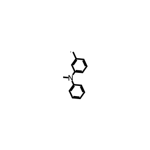 [CH2]c1cccc(N(C)c2ccccc2)c1